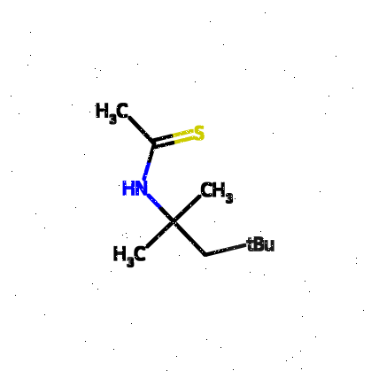 CC(=S)NC(C)(C)CC(C)(C)C